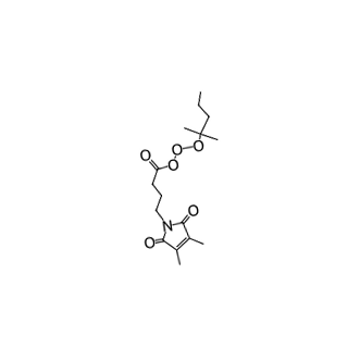 CCCC(C)(C)OOOC(=O)CCCN1C(=O)C(C)=C(C)C1=O